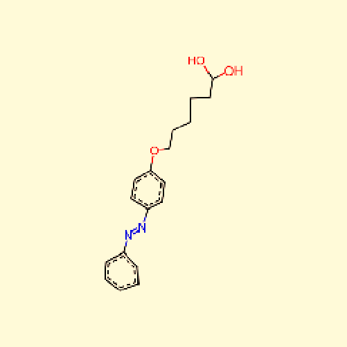 OC(O)CCCCCOc1ccc(N=Nc2ccccc2)cc1